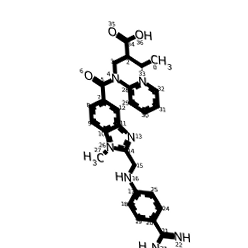 CCC(CN(C(=O)c1ccc2c(c1)nc(CNc1ccc(C(=N)N)cc1)n2C)c1ccccn1)C(=O)O